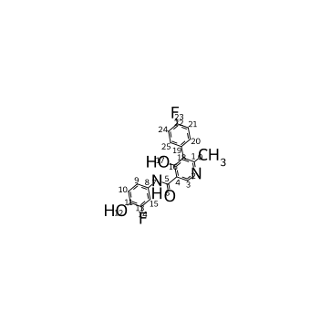 Cc1ncc(C(=O)Nc2ccc(O)c(F)c2)c(O)c1-c1ccc(F)cc1